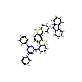 c1ccc(-c2nc(-c3ccccc3)nc(-c3cccc4sc5c(ccc6sc7ccc(-n8c9ccccc9c9ccccc98)cc7c65)c34)n2)cc1